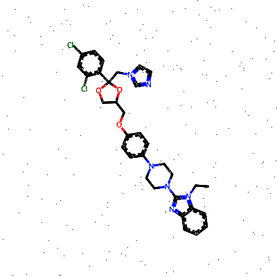 CCn1c(N2CCN(c3ccc(OCC4COC(Cn5ccnc5)(c5ccc(Cl)cc5Cl)O4)cc3)CC2)nc2ccccc21